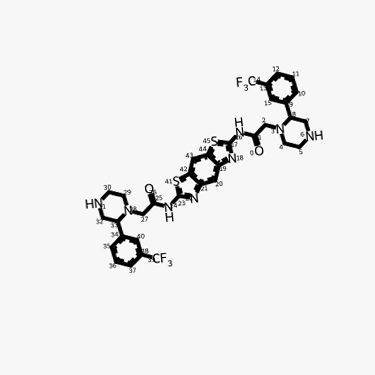 O=C(CN1CCNCC1c1cccc(C(F)(F)F)c1)Nc1nc2cc3nc(NC(=O)CN4CCNCC4c4cccc(C(F)(F)F)c4)sc3cc2s1